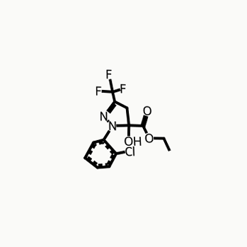 CCOC(=O)C1(O)CC(C(F)(F)F)=NN1c1ccccc1Cl